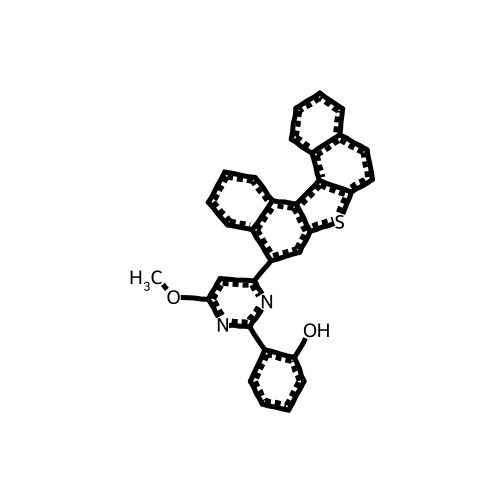 COc1cc(-c2cc3sc4ccc5ccccc5c4c3c3ccccc23)nc(-c2ccccc2O)n1